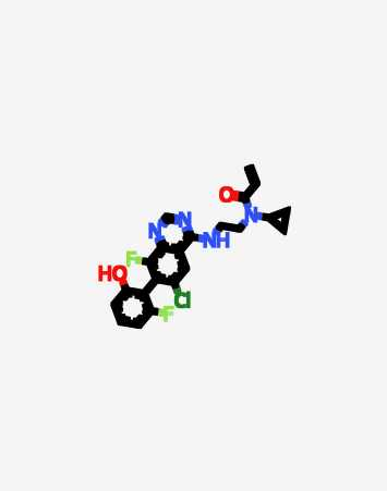 C=CC(=O)N(CCNc1ncnc2c(F)c(-c3c(O)cccc3F)c(Cl)cc12)C1CC1